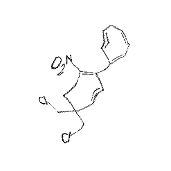 O=[N+]([O-])C1=C(c2ccccc2)C=CC(CCl)(CCl)C1